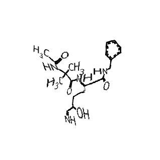 CC(=O)NC(C)(C)C(=O)N[C@@H](CCC(O)C=N)C(=O)NCc1ccccc1